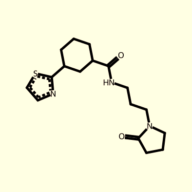 O=C(NCCCN1CCCC1=O)C1CCCC(c2nccs2)C1